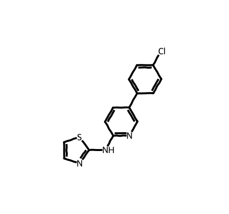 Clc1ccc(-c2ccc(Nc3nccs3)nc2)cc1